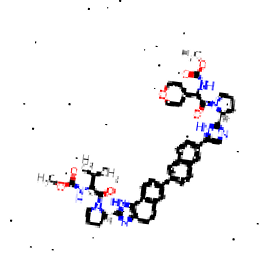 COC(=O)NC(C(=O)N1CCC[C@H]1c1ncc(-c2ccc3cc(-c4ccc5c(c4)CCc4nc([C@@H]6CCCN6C(=O)[C@@H](NC(=O)OC)C(C)C)[nH]c4-5)ccc3c2)[nH]1)C1CCOCC1